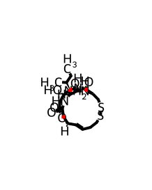 CCC(C)[C@H]1NC(=O)C2CSSCC/C=C/[C@H](CC(=O)N[C@H](N)C(=O)N2)OC(=O)C[C@@H]1O